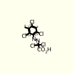 Cc1c(Cl)cc(Cl)c(/N=N/C(Cl)(Cl)C(=O)O)c1Cl